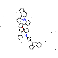 c1ccc(-c2ccccc2N(c2ccc(-c3cccc(-n4c5ccccc5c5c6ccccc6ccc54)c3-c3ccccc3)cc2)c2ccc(-c3cc4ccccc4c4ccccc34)cc2)cc1